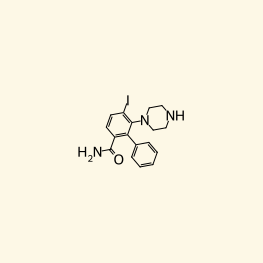 NC(=O)c1ccc(I)c(N2CCNCC2)c1-c1ccccc1